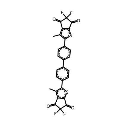 Cc1c(-c2ccc(-c3ccc(-c4sc5c(c4C)C(=O)C(F)(F)C5=O)cc3)cc2)sc2c1C(=O)C(F)(F)C2=O